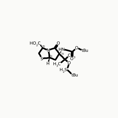 CC(C)(C)OC(=O)N[C@]1(C(C)(C)O[SiH2]C(C)(C)C)C[C@@H]2SC[C@@H](C(=O)O)N2C1=O